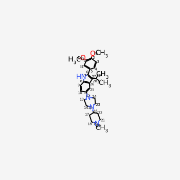 COc1ccc(-c2[nH]c3ccc(N4CCN(C5CCN(C)CC5)CC4)cc3c2C(C)C)cc1OC